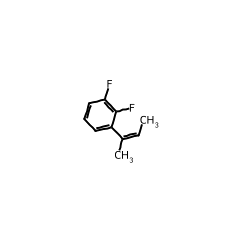 C/C=C(/C)c1cccc(F)c1F